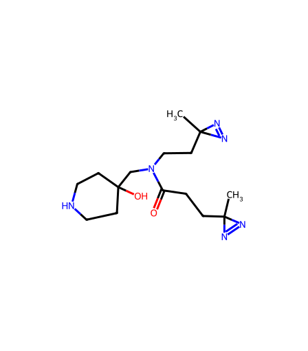 CC1(CCC(=O)N(CCC2(C)N=N2)CC2(O)CCNCC2)N=N1